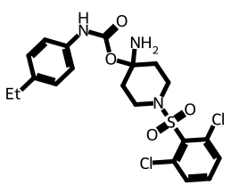 CCc1ccc(NC(=O)OC2(N)CCN(S(=O)(=O)c3c(Cl)cccc3Cl)CC2)cc1